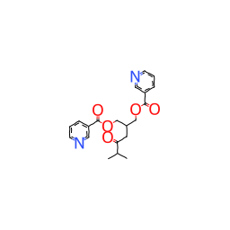 CC(C)C(=O)CC(COC(=O)c1cccnc1)COC(=O)c1cccnc1